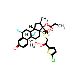 CCC(=O)O[C@]1(C(=O)SCC(=O)c2ccc(Cl)s2)[C@H](C)C[C@H]2[C@@H]3C[C@H](F)C4=CC(=O)C=C[C@]4(C)[C@@]3(F)[C@@H](O)C[C@@]21C